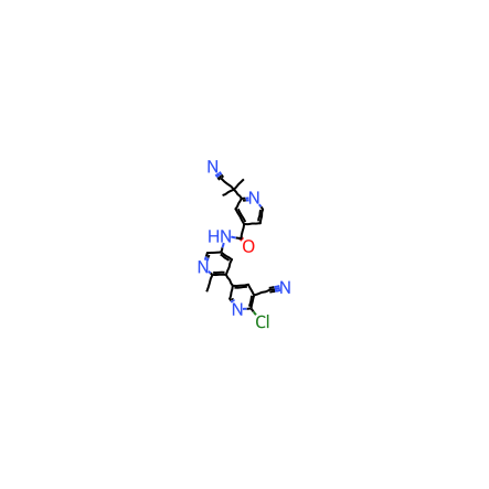 Cc1ncc(NC(=O)c2ccnc(C(C)(C)C#N)c2)cc1-c1cnc(Cl)c(C#N)c1